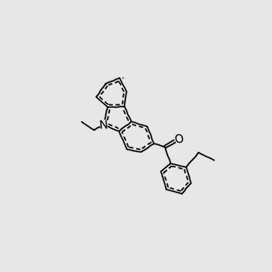 CCc1ccccc1C(=O)c1ccc2c(c1)c1c[c]ccc1n2CC